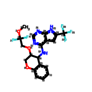 COC(F)(F)COC1COc2ccccc2C1Nc1ncnc2[nH]c(C(F)(F)F)cc12